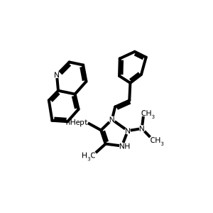 CCCCCCCC1=C(C)NN(N(C)C)N1C=Cc1ccccc1.c1ccc2ncccc2c1